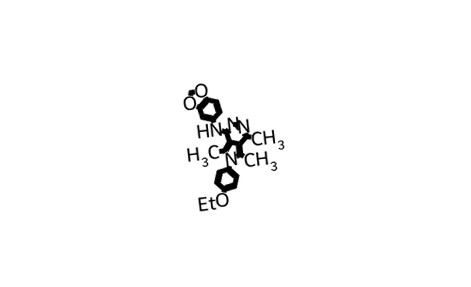 CCOc1ccc(-n2c(C)c3c(C)nnc(Nc4ccc5c(c4)OCO5)c3c2C)cc1